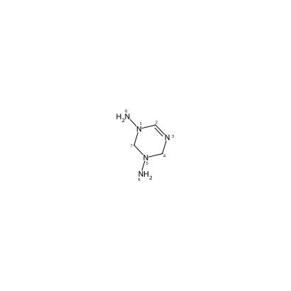 NN1C=NCN(N)C1